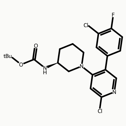 CC(C)(C)OC(=O)N[C@H]1CCCN(c2cc(Cl)ncc2-c2ccc(F)c(Cl)c2)C1